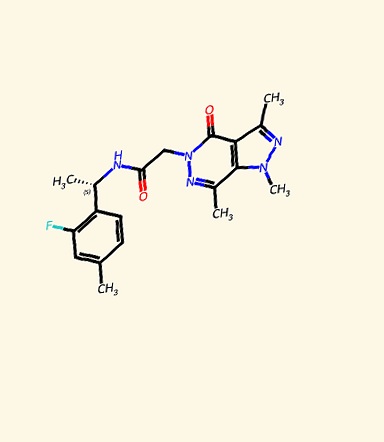 Cc1ccc([C@H](C)NC(=O)Cn2nc(C)c3c(c(C)nn3C)c2=O)c(F)c1